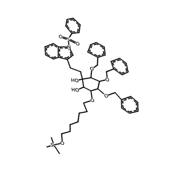 C[Si](C)(C)OCCCCCCCOC1C(OCc2ccccc2)C(OCc2ccccc2)C(OCc2ccccc2)C(O)(CCc2cn(S(=O)(=O)c3ccccc3)c3ccccc23)C1O